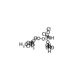 CC(C)(C)COC(=O)N1CCC(Oc2ccc(-c3ccc(C(c4ccc(N5CC(=O)NS5(=O)=O)cc4)c4nc(-c5ccc(Cl)cc5Cl)c[nH]4)cc3)cc2)CC1